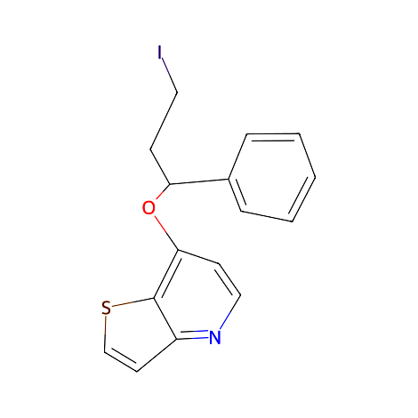 ICCC(Oc1ccnc2ccsc12)c1ccccc1